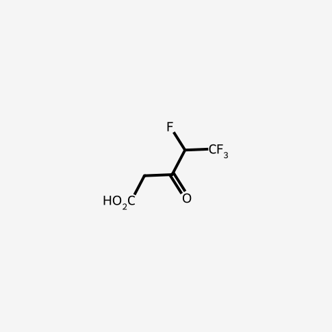 O=C(O)CC(=O)C(F)C(F)(F)F